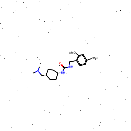 COc1ccc(CNC(=O)N[C@H]2CC[C@H](CN(C)C)CC2)c(OC)c1